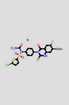 CNc1cc2[nH]c(=O)n(-c3ccc(N(C(N)=O)S(=O)(=O)c4ccc(Cl)s4)cc3)c(=O)c2cc1F.[K]